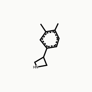 Cc1ccc(C2CNC2)cc1C